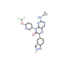 Cn1cc2cc(-c3nc4cnc(NC5CC5)nc4n(-c4ccc(OC(F)F)nc4)c3=O)ccc2n1